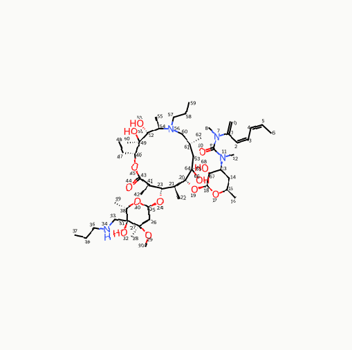 C=C(/C=C\C=C/C)N(C)C(=O)N(C)[C@H]1C[C@@H](C)O[C@@H](O[C@@H]2[C@@H](C)[C@H](O[C@H]3C[C@@](C)(OC)[C@](O)(CNCCC)[C@H](C)O3)[C@@H](C)C(=O)O[C@H](CC)[C@@](C)(O)[C@H](O)[C@@H](C)N(CCC)C[C@H](C)C[C@@]2(C)O)[C@@H]1O